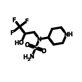 NS(=O)(=O)N(CC(O)C(F)(F)F)C1CCNCC1